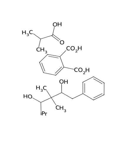 CC(C)C(=O)O.CC(C)C(O)C(C)(C)C(O)Cc1ccccc1.O=C(O)c1ccccc1C(=O)O